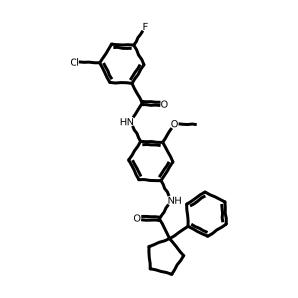 COc1cc(NC(=O)C2(c3ccccc3)CCCC2)ccc1NC(=O)c1cc(F)cc(Cl)c1